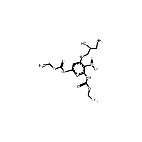 CCOC(=O)Nc1cc(NCC(O)CN)c([N+](=O)[O-])c(NC(=O)OCC)n1